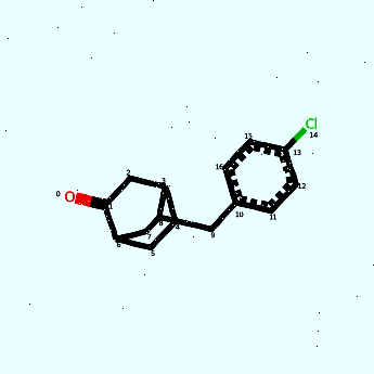 O=C1CC2CCC1CC2Cc1ccc(Cl)cc1